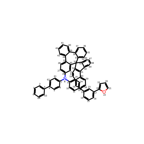 c1ccc(-c2ccc(N(c3ccc(-c4cccc(-c5ccco5)c4)cc3)c3ccc4c(c3)C3(c5ccccc5-c5ccccc5-4)c4ccccc4-c4c3ccc3ccccc43)cc2)cc1